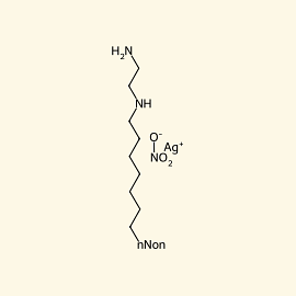 CCCCCCCCCCCCCCCCNCCN.O=[N+]([O-])[O-].[Ag+]